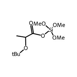 CO[Si](OC)(OC)OC(=O)C(C)OC(C)(C)C